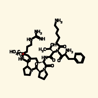 CC(O)[C@@H](C(=O)N[C@@H](CCCCN)C(=O)N1CCC[C@H]1C(=O)N1CCC[C@H]1C(=O)N[C@@H](CCCNC(=N)N)C(=O)O)N(C(=O)CCCCCN)C(=O)[C@@H](N)Cc1ccccc1